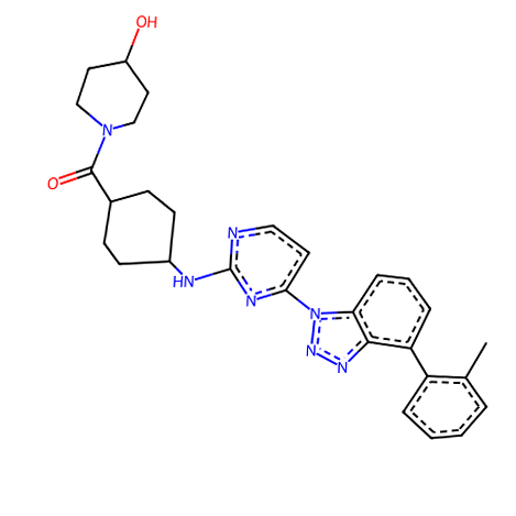 Cc1ccccc1-c1cccc2c1nnn2-c1ccnc(NC2CCC(C(=O)N3CCC(O)CC3)CC2)n1